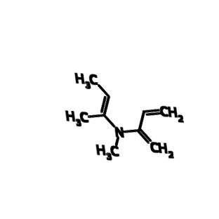 C=CC(=C)N(C)/C(C)=C/C